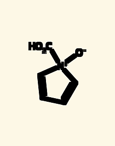 O=C(O)[N+]1([O-])C=CC=C1